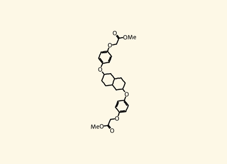 COC(=O)COc1ccc(OC2CCC3CC(Oc4ccc(OCC(=O)OC)cc4)CCC3C2)cc1